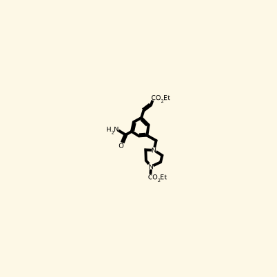 CCOC(=O)C=Cc1cc(CN2CCN(C(=O)OCC)CC2)cc(C(N)=O)c1